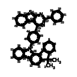 CC1(C)c2ccccc2-c2c1ccc1c3ccccc3n(-c3ccc(-c4nc(-c5ccccc5)nc5sc6ccccc6c45)cc3)c21